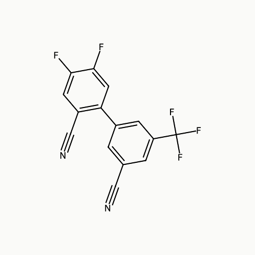 N#Cc1cc(-c2cc(F)c(F)cc2C#N)cc(C(F)(F)F)c1